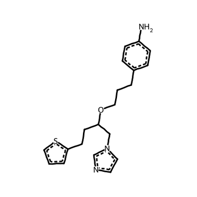 Nc1ccc(CCCOC(CCc2cccs2)Cn2ccnc2)cc1